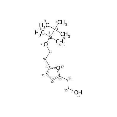 CC(C)(C)[Si](C)(C)OCCc1ccc(CCO)o1